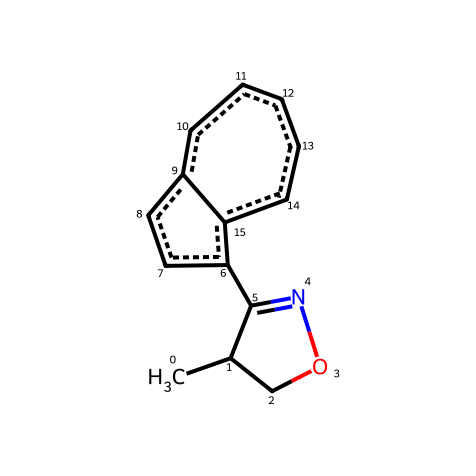 CC1CON=C1c1ccc2cccccc1-2